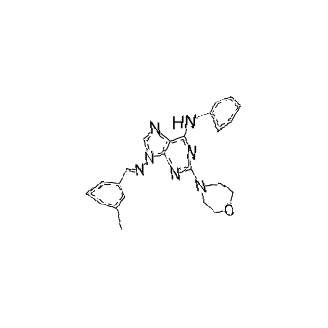 Cc1cccc(C=Nn2cnc3c(Nc4ccccc4)nc(N4CCOCC4)nc32)c1